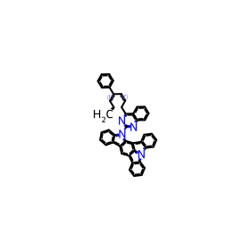 C=C/C=C(\C=C/Cc1nc(-n2c3ccccc3c3cc4c5ccccc5n5c6ccccc6c(c32)c45)nc2ccccc12)c1ccccc1